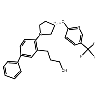 OCCCc1cc(-c2ccccc2)ccc1N1CC[C@H](Oc2ccc(C(F)(F)F)cn2)C1